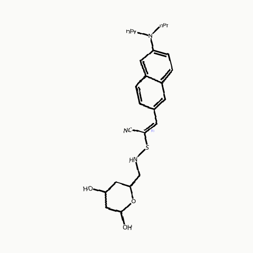 CCCN(CCC)c1ccc2cc(/C=C(\C#N)SNCC3CC(O)CC(O)O3)ccc2c1